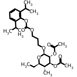 CC[C@H]1O[C@@H](OCCCOC(=O)Oc2c(C(C)C)cccc2C(C)C)[C@H](OC(C)=O)[C@@H](OC(C)=O)[C@@H]1C